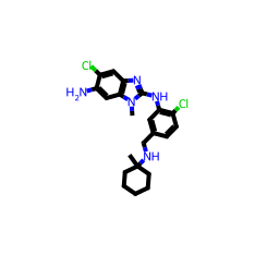 Cn1c(Nc2cc(CNC3(C)CCCCC3)ccc2Cl)nc2cc(Cl)c(N)cc21